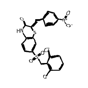 O=C1Nc2ccc(S(=O)(=O)Cc3c(Cl)cccc3Cl)cc2SC1=Cc1ccc([N+](=O)[O-])cc1